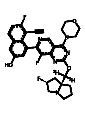 [2H]C([2H])(Oc1nc(N2CCOCC2)c2cnc(-c3cc(O)cc4ccc(F)c(C#C)c34)c(F)c2n1)[C@@]12CCCN1C[C@H](F)C2